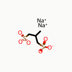 CC(CS(=O)(=O)[O-])CS(=O)(=O)[O-].[Na+].[Na+]